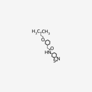 CC(C)CCOc1cccc(CC(=O)Nc2ccc3ncsc3c2)c1